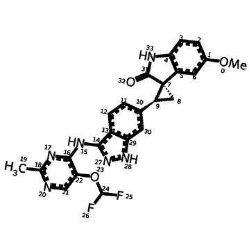 COc1ccc2c(c1)[C@]1(C[C@H]1c1ccc3c(Nc4nc(C)ncc4OC(F)F)n[nH]c3c1)C(=O)N2